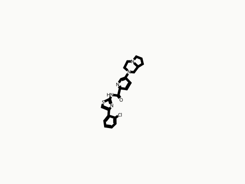 O=C(Nc1nc(-c2ccccc2Cl)cs1)c1ccc(N2CCN3CCCC3C2)cn1